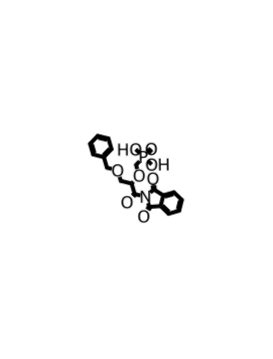 O=C1c2ccccc2C(=O)N1C(=O)C(COCc1ccccc1)OCP(=O)(O)O